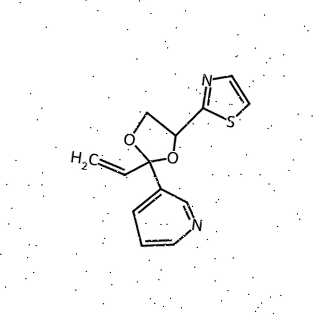 C=CC1(c2cccnc2)OCC(c2nccs2)O1